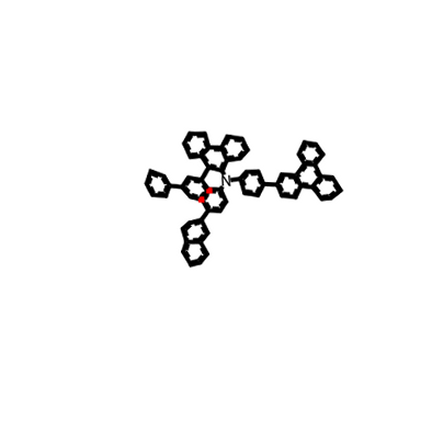 c1ccc(-c2cccc(-c3c(N(c4ccc(-c5ccc6ccccc6c5)cc4)c4ccc(-c5ccc6c7ccccc7c7ccccc7c6c5)cc4)c4ccccc4c4ccccc34)c2)cc1